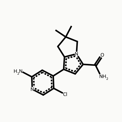 CC1(C)Cc2c(-c3cc(N)ncc3Cl)cc(C(N)=O)n2C1